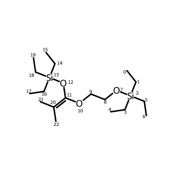 CC[Si](CC)(CC)OCCOC(O[Si](CC)(CC)CC)=C(C)C